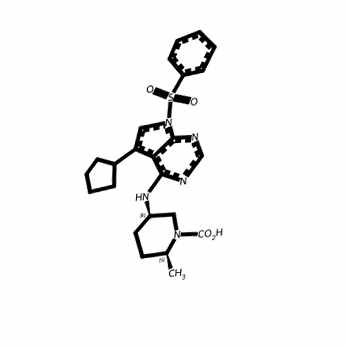 C[C@H]1CC[C@@H](Nc2ncnc3c2c(C2CCCC2)cn3S(=O)(=O)c2ccccc2)CN1C(=O)O